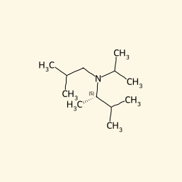 CC(C)CN(C(C)C)[C@@H](C)C(C)C